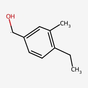 CCc1ccc([CH]O)cc1C